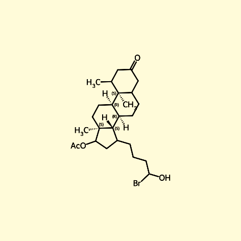 CC(=O)OC1CC(CCCC(O)Br)[C@H]2[C@@H]3CCC4CC(=O)CC(C)[C@]4(C)[C@@H]3CC[C@]12C